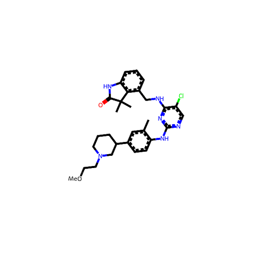 COCCN1CCCC(c2ccc(Nc3ncc(Cl)c(NCc4cccc5c4C(C)(C)C(=O)N5)n3)c(C)c2)C1